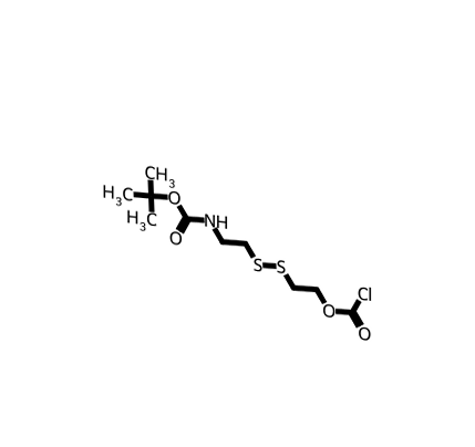 CC(C)(C)OC(=O)NCCSSCCOC(=O)Cl